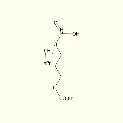 CCCC.CCOC(=O)OCCCO[PH](=O)O